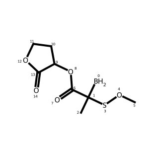 BC(C)(SOC)C(=O)OC1CCOC1=O